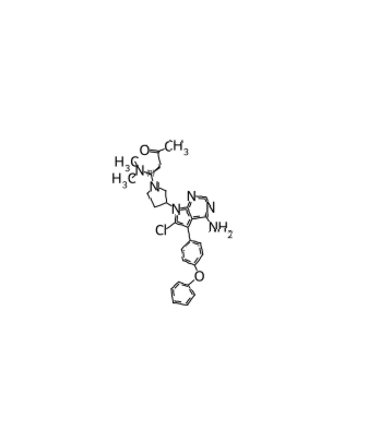 CC(=O)C[C@H](N(C)C)N1CCC(n2c(Cl)c(-c3ccc(Oc4ccccc4)cc3)c3c(N)ncnc32)C1